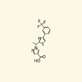 CC(c1nc(-c2cccc(C(F)(F)F)c2)cs1)n1cc(C(=O)O)cn1